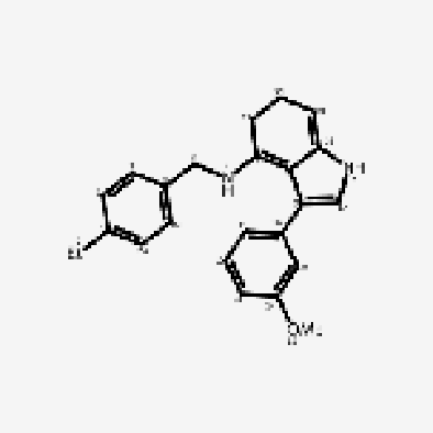 CCc1ccc(CNC2=c3c(-c4cccc(OC)c4)c[nH]c3=CCC2)cc1